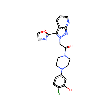 O=C(Cn1nc2ncccc2c1-c1ncco1)N1CCN(c2ccc(Cl)c(O)c2)CC1